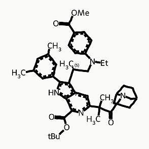 CCN(C[C@@H](C)c1c(-c2cc(C)cc(C)c2)[nH]c2c(C(=O)OC(C)(C)C)nc(C(C)(C)C(=O)N3CC4CCC3CC4)cc12)c1ccc(C(=O)OC)cc1